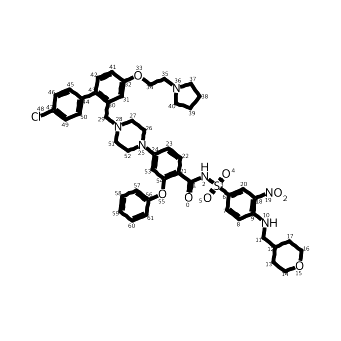 O=C(NS(=O)(=O)c1ccc(NCC2CCOCC2)c([N+](=O)[O-])c1)c1ccc(N2CCN(Cc3cc(OCCN4CCCC4)ccc3-c3ccc(Cl)cc3)CC2)cc1Oc1ccccc1